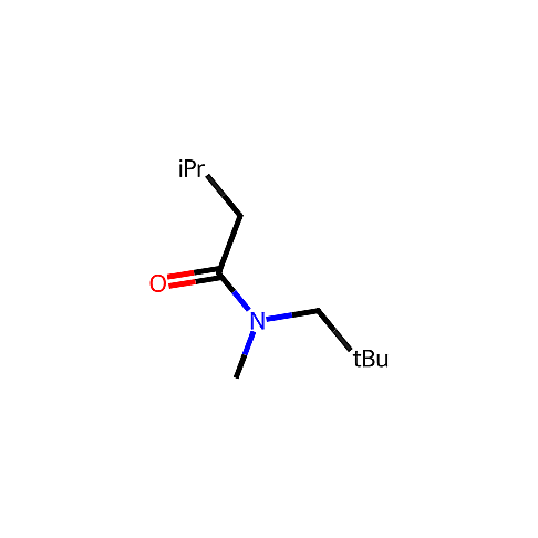 CC(C)CC(=O)N(C)CC(C)(C)C